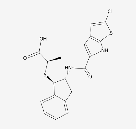 C[C@@H](S[C@@H]1c2ccccc2C[C@H]1NC(=O)c1cc2cc(Cl)sc2[nH]1)C(=O)O